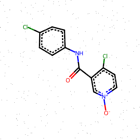 O=C(Nc1ccc(Cl)cc1)c1c[n+]([O-])ccc1Cl